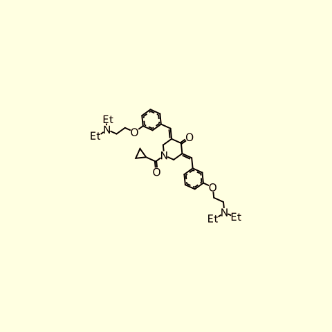 CCN(CC)CCOc1cccc(/C=C2\CN(C(=O)C3CC3)C/C(=C\c3cccc(OCCN(CC)CC)c3)C2=O)c1